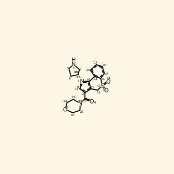 O=C(c1nn([C@@H]2CCNC2)c2c1CS(=O)(=O)c1ccccc1-2)N1CCOCC1